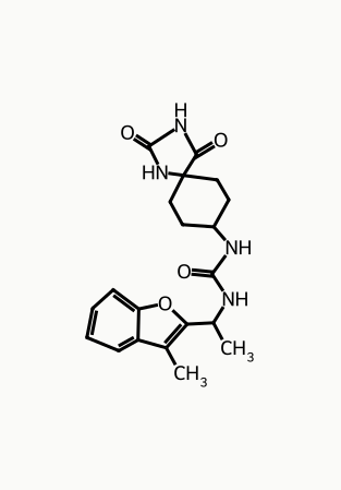 Cc1c(C(C)NC(=O)NC2CCC3(CC2)NC(=O)NC3=O)oc2ccccc12